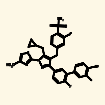 Cc1cc(-c2cc(-c3nn(-c4nc(C(=O)O)cs4)c(CC4CC4)c3Cc3ccc(S(N)(=O)=O)c(F)c3)ccc2F)ccc1C(C)C